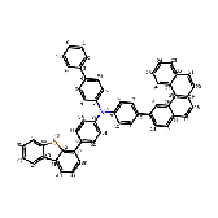 c1ccc(-c2ccc(N(c3ccc(-c4ccc5ccc6ccc7ccccc7c6c5c4)cc3)c3ccc(-c4cccc5c4sc4ccccc45)cc3)cc2)cc1